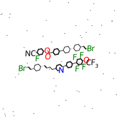 Fc1c(F)c(-c2ccc(-c3ccc(CC/C=C/[C@H]4CC[C@H](/C=C/Br)CC4)cn3)cc2)c(F)c(F)c1OC(F)(F)F.N#Cc1ccc(OC(=O)c2ccc(C3CCC([C@H]4CC[C@H](/C=C/Br)CC4)CC3)cc2)cc1F